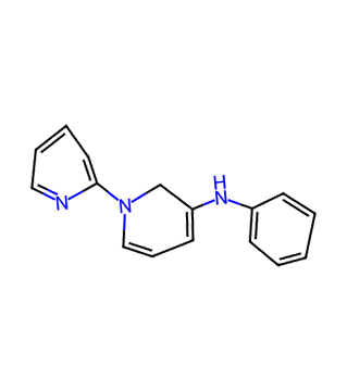 C1=CN(c2ccccn2)CC(Nc2ccccc2)=C1